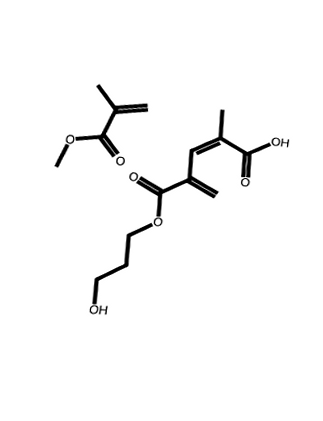 C=C(C)C(=O)OC.C=C(C=C(C)C(=O)O)C(=O)OCCCO